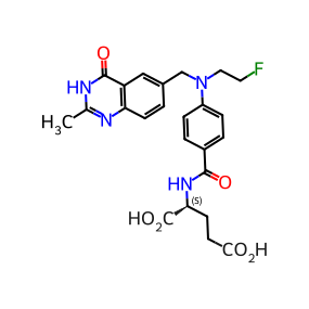 Cc1nc2ccc(CN(CCF)c3ccc(C(=O)N[C@@H](CCC(=O)O)C(=O)O)cc3)cc2c(=O)[nH]1